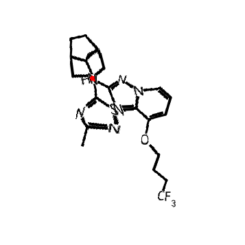 Cc1nsc(N2CC3CCC(C2)C3Nc2nc3c(OCCCC(F)(F)F)cccn3n2)n1